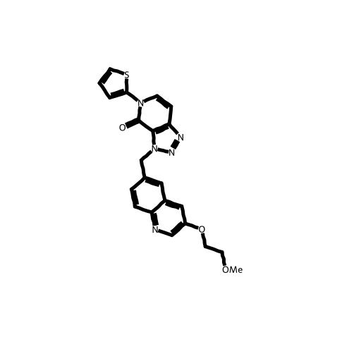 COCCOc1cnc2ccc(Cn3nnc4ccn(-c5cccs5)c(=O)c43)cc2c1